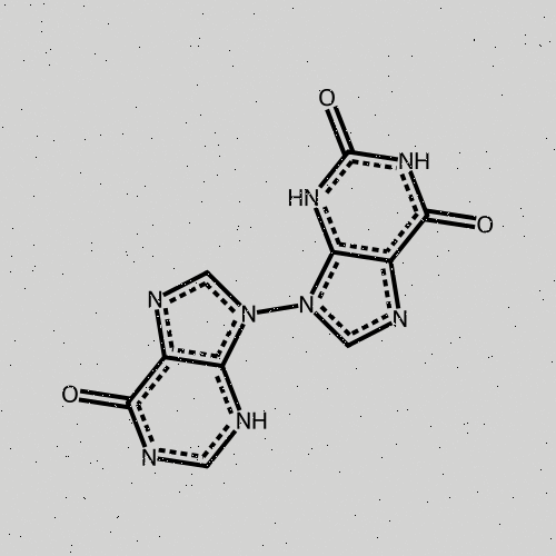 O=c1[nH]c(=O)c2ncn(-n3cnc4c(=O)nc[nH]c43)c2[nH]1